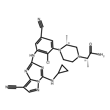 C[C@@H]1CN([C@@H](C)C(N)=O)CCN1c1cc(C#N)cc(Nc2nc(NC3CC3)n3ncc(C#N)c3n2)c1Cl